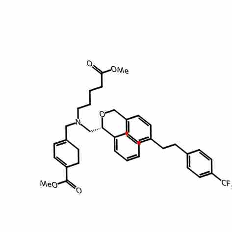 COC(=O)CCCCN(CC1=CC=C(C(=O)OC)CC1)C[C@H](OCc1ccc(CCc2ccc(C(F)(F)F)cc2)cc1)c1ccccc1